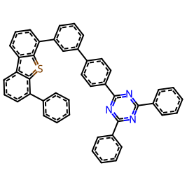 c1ccc(-c2nc(-c3ccccc3)nc(-c3ccc(-c4cccc(-c5cccc6c5sc5c(-c7ccccc7)cccc56)c4)cc3)n2)cc1